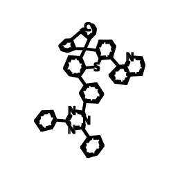 c1ccc(-c2nc(-c3ccccc3)nc(-c3cccc(-c4cccc5c4Sc4c(-c6cccc7cccnc67)cccc4C54c5ccccc5-c5ccccc54)c3)n2)cc1